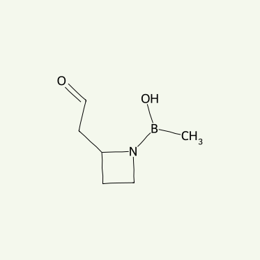 CB(O)N1CCC1CC=O